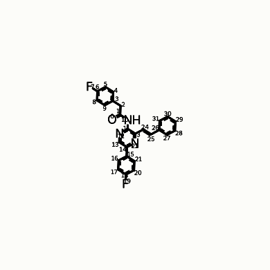 O=C(Cc1ccc(F)cc1)Nc1ncc(-c2ccc(F)cc2)nc1/C=C/c1ccccc1